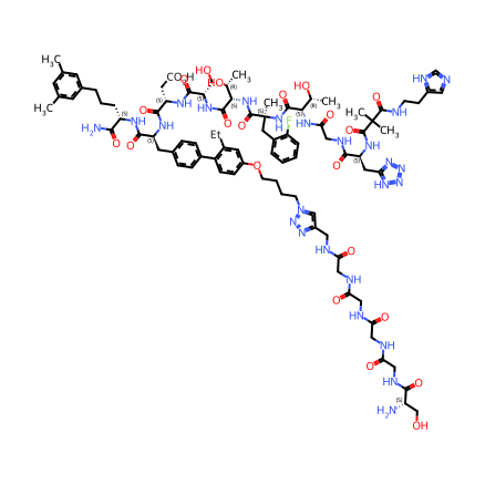 CCc1cc(OCCCCn2cc(CNC(=O)CNC(=O)CNC(=O)CNC(=O)CNC(=O)[C@@H](N)CO)nn2)ccc1-c1ccc(C[C@H](NC(=O)[C@H](CC(=O)O)NC(=O)[C@H](CO)NC(=O)[C@@H](NC(=O)[C@](C)(Cc2ccccc2F)NC(=O)[C@@H](NC(=O)CNC(=O)[C@H](Cc2nnn[nH]2)NC(=O)C(C)(C)C(=O)NCCc2cnc[nH]2)[C@@H](C)O)[C@@H](C)O)C(=O)N[C@@H](CCCc2cc(C)cc(C)c2)C(N)=O)cc1